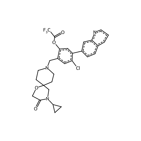 O=C1COC2(CCN(Cc3cc(Cl)c(-c4ccc5cccnc5c4)cc3OC(=O)C(F)(F)F)CC2)CN1C1CC1